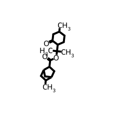 CC1CCC(C(C)(C)OC(=O)C2CC3CC2CC3C)C(=O)C1